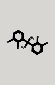 NC(N)(c1cccc(Cl)c1Cl)c1cccc(Cl)c1Cl